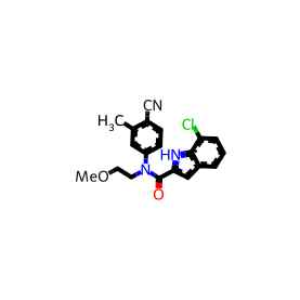 COCCN(C(=O)c1cc2cccc(Cl)c2[nH]1)c1ccc(C#N)c(C)c1